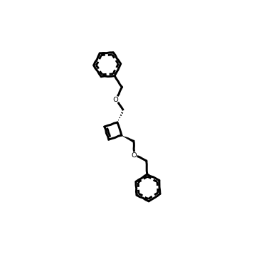 C1=C[C@H](COCc2ccccc2)[C@H]1COCc1ccccc1